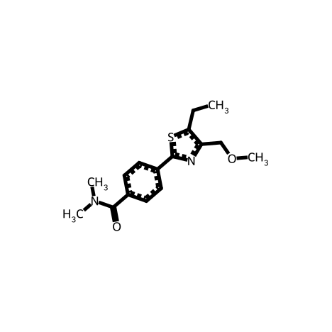 CCc1sc(-c2ccc(C(=O)N(C)C)cc2)nc1COC